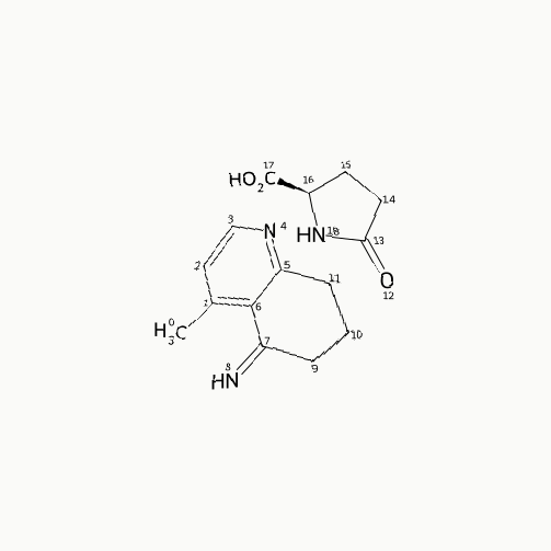 Cc1ccnc2c1C(=N)CCC2.O=C1CC[C@H](C(=O)O)N1